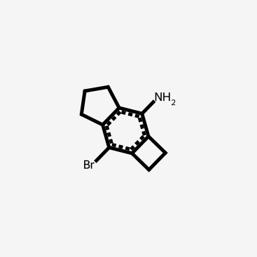 Nc1c2c(c(Br)c3c1CC3)CCC2